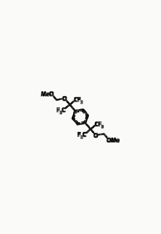 COCOC(c1ccc(C(OCOC)(C(F)(F)F)C(F)(F)F)cc1)(C(F)(F)F)C(F)(F)F